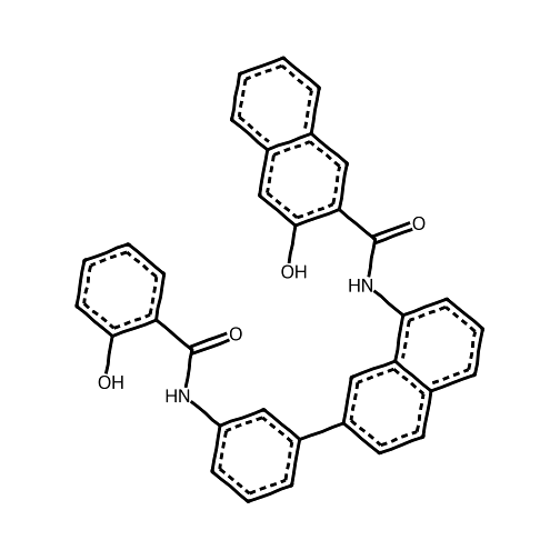 O=C(Nc1cccc(-c2ccc3cccc(NC(=O)c4cc5ccccc5cc4O)c3c2)c1)c1ccccc1O